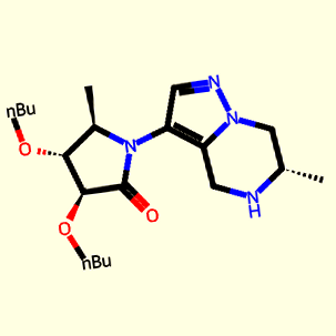 CCCCO[C@H]1[C@H](OCCCC)C(=O)N(c2cnn3c2CN[C@@H](C)C3)[C@@H]1C